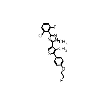 Cc1c(-c2nc(-c3c(F)cccc3Cl)nn2C)csc1-c1ccc(OCCF)cc1